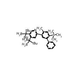 BC(B)(c1cnc(-c2cc(-c3ccccc3)c(S(C)(C)C)cc2C)cc1C(B)(B)C(C)(C)C)C(C)(C)C